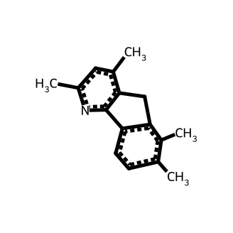 Cc1cc(C)c2c(n1)-c1ccc(C)c(C)c1C2